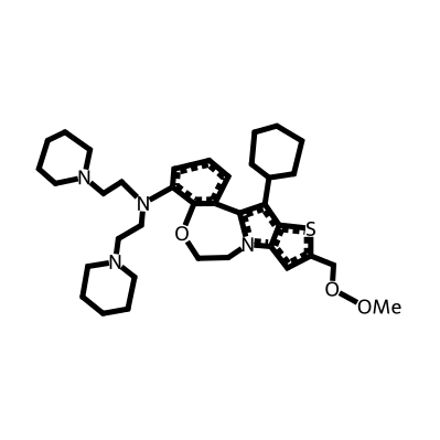 COOCc1cc2c(s1)c(C1CCCCC1)c1n2CCOc2c-1cccc2N(CCN1CCCCC1)CCN1CCCCC1